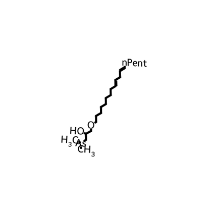 CCCCCC=CCC=CCCCCCCCCOCC(O)C[As](C)C